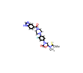 COC(=S)N(C)C1CN(c2ccc(N3CCN(C(=O)c4ccc5[nH]cnc5c4)CC3)c(F)c2)C(=O)O1